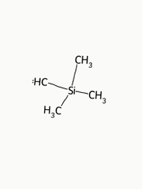 [CH][Si](C)(C)C